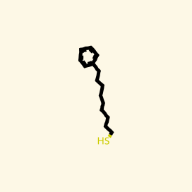 SCCCCCCCCCc1ccccc1